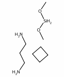 C1CCC1.CO[SiH2]OC.NCCCN